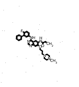 C=CC(=O)Nc1cc2c(Nc3ccc(F)c(-c4ccccc4)c3)ncnc2cc1OCCCN1CCN(C)CC1